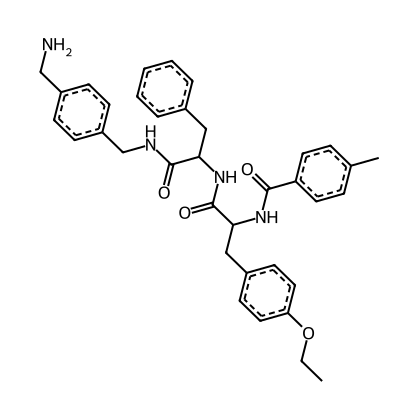 CCOc1ccc(CC(NC(=O)c2ccc(C)cc2)C(=O)NC(Cc2ccccc2)C(=O)NCc2ccc(CN)cc2)cc1